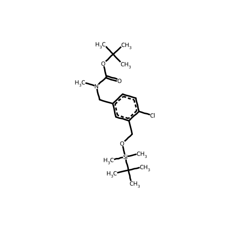 CN(Cc1ccc(Cl)c(CO[Si](C)(C)C(C)(C)C)c1)C(=O)OC(C)(C)C